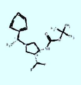 C[C@H](c1ccccc1)N1C[C@H](NC(=O)OC(C)(C)C)[C@H](C(F)F)C1